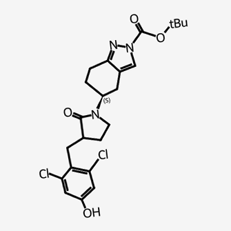 CC(C)(C)OC(=O)n1cc2c(n1)CC[C@H](N1CCC(Cc3c(Cl)cc(O)cc3Cl)C1=O)C2